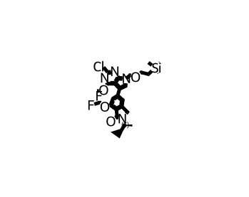 COc1nc(Cl)nc2c1c(-c1cc3c(c(OC(F)F)c1)C(=O)N([C@@H](C)C1CC1)C3)cn2COCC[Si](C)(C)C